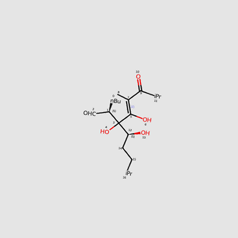 CCCC[C@H](C=O)C(O)(/C(O)=C(\C)C(=O)C(C)C)[C@@H](O)CCC(C)C